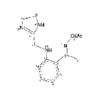 CON=C(C)c1ccccc1NCC1=NCCN1